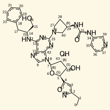 CCc1cc([C@H]2O[C@@H](n3cnc4c(N[C@H](CO)Cc5ccccc5)nc(N5CC[C@@H](NC(=O)Nc6cccnc6)C5)nc43)[C@H](O)[C@@H]2O)on1